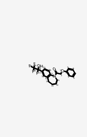 O=C(COc1ccccc1)N1CCCCc2cc(C(O)(F)C(F)(F)F)ccc21